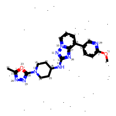 COc1ccc(-c2cccn3nc(NC4CCN(c5nnc(C)o5)CC4)nc23)cn1